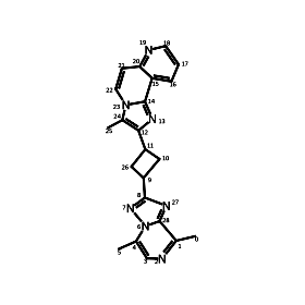 Cc1ncc(C)n2nc(C3CC(c4nc5c6cccnc6ccn5c4C)C3)nc12